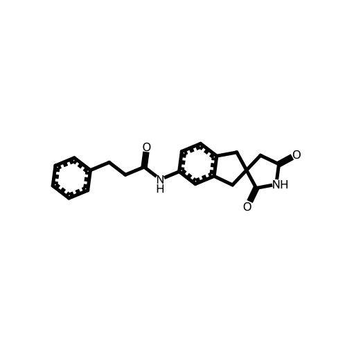 O=C1CC2(Cc3ccc(NC(=O)CCc4ccccc4)cc3C2)C(=O)N1